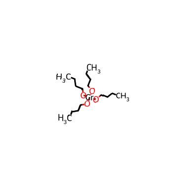 CCCC[O][Cr]([O]CCCC)([O]CCCC)[O]CCCC